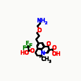 C[C@@H]1CCc2cc(CCCOCCN)cc3c(=O)c(C(=O)O)cn1c23.O=C(O)C(F)(F)F